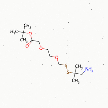 CC(C)(C)OC(=O)COCCOCSSC(C)(C)CN